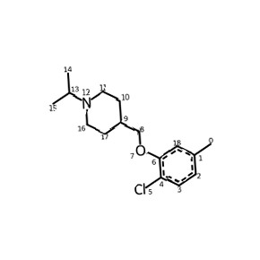 Cc1ccc(Cl)c(OCC2CCN(C(C)C)CC2)c1